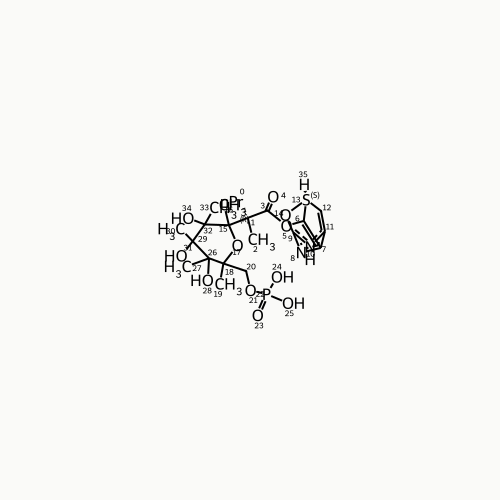 CCC[C@@](C)(C(=O)OC1=c2nc3[nH]c2=C[S@@H]1O3)C1(C)OC(C)(COP(=O)(O)O)C(C)(O)C(C)(O)C1(C)O